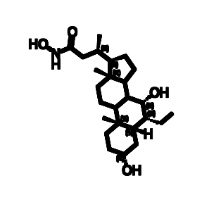 CC[C@H]1[C@@H](O)C2C3CC[C@H]([C@H](C)CC(=O)NO)[C@@]3(C)CCC2[C@@]2(C)CC[C@@H](O)C[C@@H]12